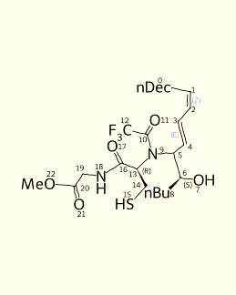 CCCCCCCCCC/C=C\C=C\C([C@@H](O)CCCC)N(C(=O)C(F)(F)F)[C@@H](CS)C(=O)NCC(=O)OC